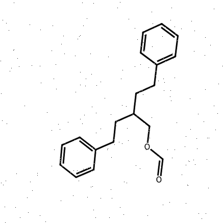 O=COCC(CCc1ccccc1)CCc1ccccc1